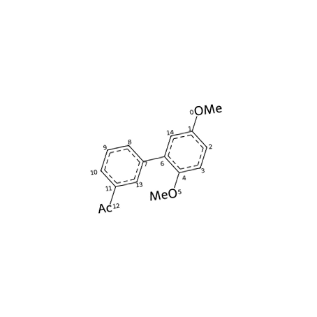 COc1ccc(OC)c(-c2cccc(C(C)=O)c2)c1